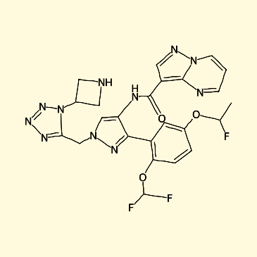 CC(F)Oc1ccc(OC(F)F)c(-c2nn(Cc3nnnn3C3CNC3)cc2NC(=O)c2cnn3cccnc23)c1